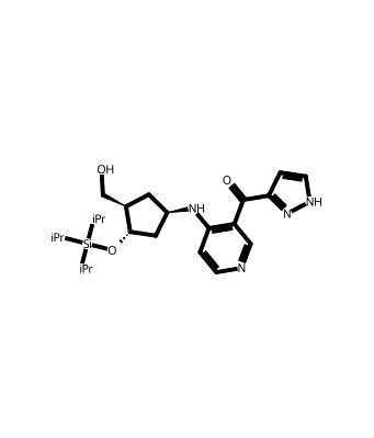 CC(C)[Si](O[C@H]1C[C@H](Nc2ccncc2C(=O)c2cc[nH]n2)C[C@@H]1CO)(C(C)C)C(C)C